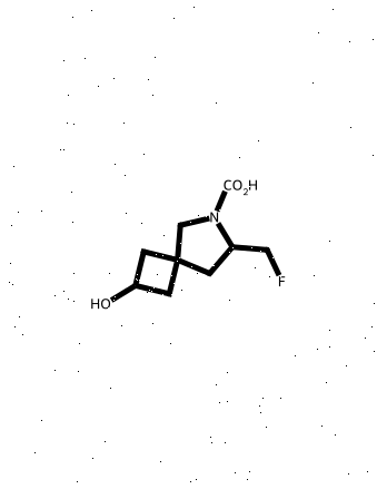 O=C(O)N1CC2(CC(O)C2)CC1CF